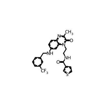 Cc1nc2ccc(NCc3cccc(C(F)(F)F)c3)cc2n(CCNC(=O)c2ccsc2)c1=O